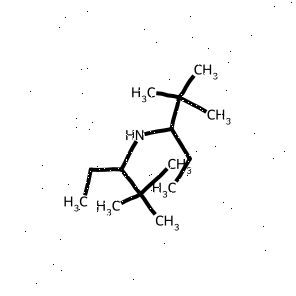 CCC(NC(CC)C(C)(C)C)C(C)(C)C